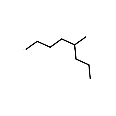 [CH2]CCCC(C)CC[CH2]